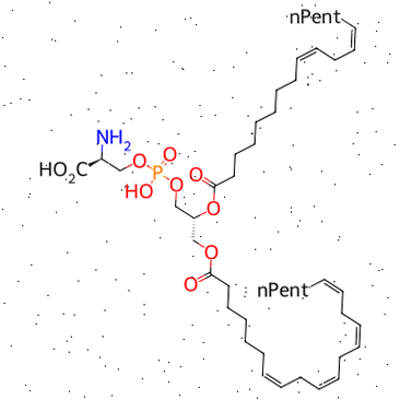 CCCCC/C=C\C/C=C\C/C=C\C/C=C\CCCCCC(=O)OC[C@H](COP(=O)(O)OC[C@H](N)C(=O)O)OC(=O)CCCCCCC/C=C\C/C=C\CCCCC